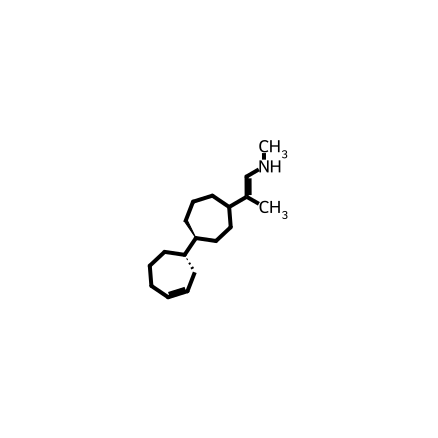 CN/C=C(\C)C1CCC[C@H]([C@@H]2CC=CCCC2)CC1